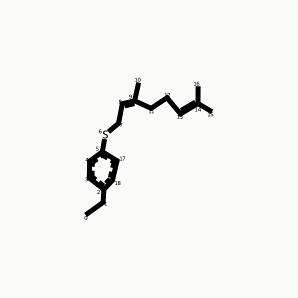 CCc1ccc(SCC=C(C)CCC=C(C)C)cc1